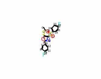 CCSc1oc(-c2ccc(F)cc2)nc1S(=O)(=O)c1ccc(F)cc1